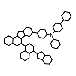 C1CCC(C2CCC(N(C3CCCCC3)C3CCC(C4CCC5CC6C7CCCCC7CC(C7CCC(C8CC9CCCCC9C8)C8CCCCC87)C6C5C4)CC3)CC2)CC1